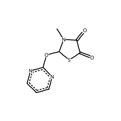 CN1[C](Oc2ncccn2)SC(=O)C1=O